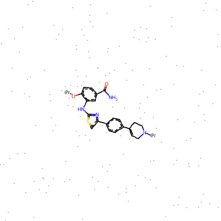 CC(C)Oc1ccc(C(N)=O)cc1Nc1nc(-c2ccc(C3=CCN(C(C)C)CC3)cc2)cs1